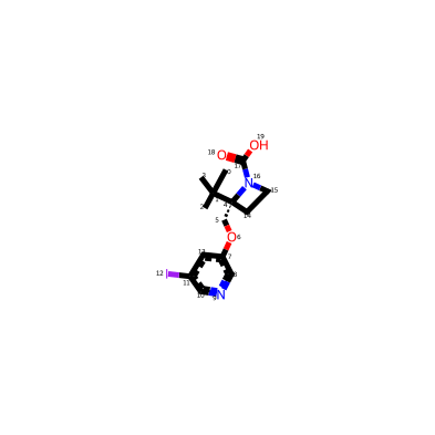 CC(C)(C)[C@]1(COc2cncc(I)c2)CCN1C(=O)O